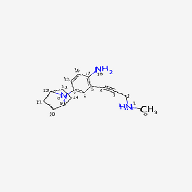 CNCC#Cc1cc(N2C3CCC2CC3)ccc1N